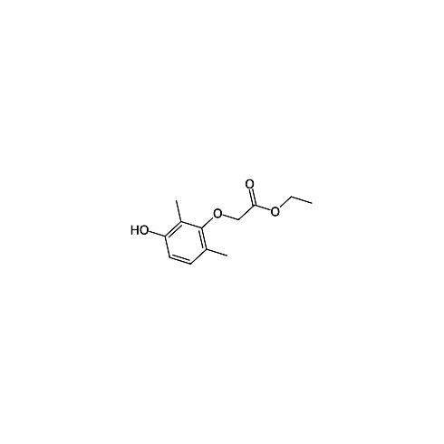 CCOC(=O)COc1c(C)ccc(O)c1C